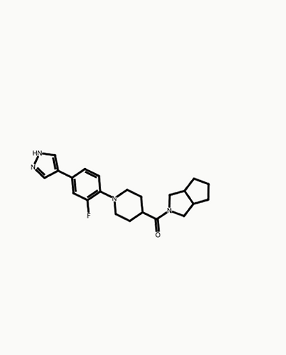 O=C(C1CCN(c2ccc(-c3cn[nH]c3)cc2F)CC1)N1CC2CCCC2C1